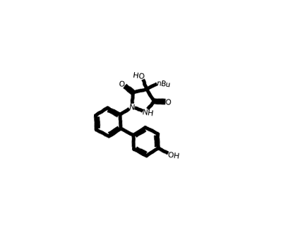 CCCCC1(O)C(=O)NN(c2ccccc2-c2ccc(O)cc2)C1=O